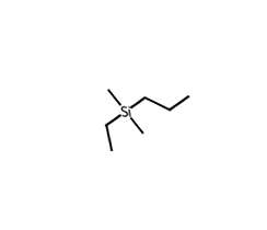 CCC[Si](C)(C)CC